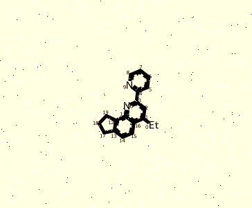 CCc1cc(-c2ccccn2)nc2c3c(ccc12)CCC3